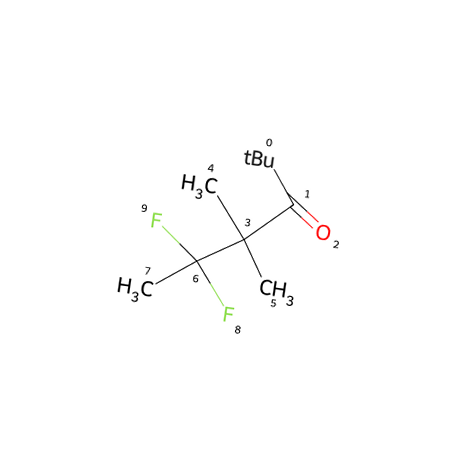 CC(C)(C)C(=O)C(C)(C)C(C)(F)F